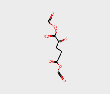 O=COC(=O)CCC(=O)C(=O)OC=O